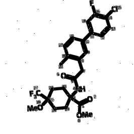 COC(=O)C1(NC(=O)Cc2cc(-c3ccc(Cl)c(F)c3)ccc2C)CCC(OC)(C(F)(F)F)CC1